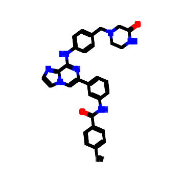 CC(C)c1ccc(C(=O)Nc2cccc(-c3cn4ccnc4c(Nc4ccc(CN5CCNC(=O)C5)cc4)n3)c2)cc1